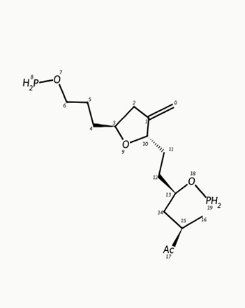 C=C1C[C@H](CCCOP)O[C@H]1CC[C@H](C[C@@H](C)C(C)=O)OP